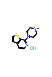 Cl.c1cc2ccsc2c(N2CCNCC2)n1